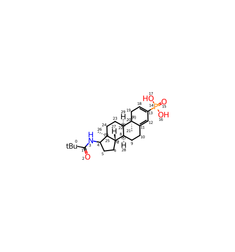 CC(C)(C)C(=O)NC1CC[C@H]2[C@@H]3CCC4=CC(P(=O)(O)O)=CC[C@]4(C)[C@@H]3CC[C@]12C